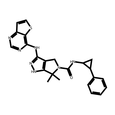 CC1(C)c2[nH]nc(Nc3ncnc4ccsc34)c2CN1C(=O)NC1CC1c1ccccc1